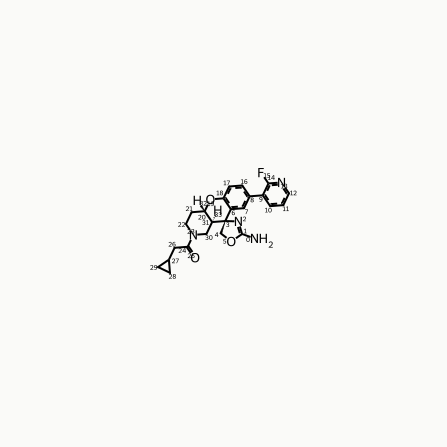 NC1=N[C@@]2(CO1)c1cc(-c3cccnc3F)ccc1O[C@H]1CCN(C(=O)CC3CC3)C[C@@H]12